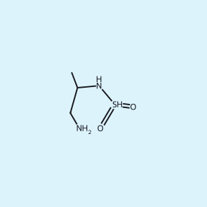 CC(CN)N[SH](=O)=O